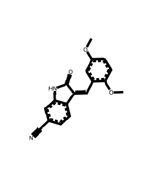 COc1ccc(OC)c(C=C2C(=O)Nc3cc(C#N)ccc32)c1